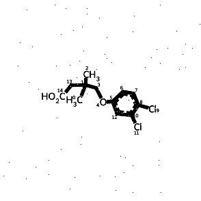 CC(C)(COc1ccc(Cl)c(Cl)c1)CC(=O)O